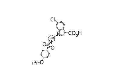 CC(C)Oc1ccc(S(=O)(=O)N2CC[C@@H](n3cc(C(=O)O)c4ccc(Cl)cc43)C2)cc1